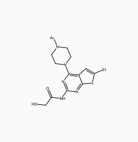 CCc1cc2c(N3CCN(C(C)=O)CC3)nc(NC(=O)CO)nc2s1